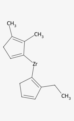 CCC1=[C]([Zr][C]2=CCC(C)=C2C)CC=C1